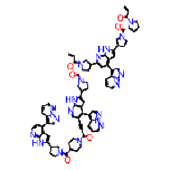 C=CC(=O)N1CCC[C@@H]1C(=O)N1CCC(c2cc3c(-c4cnn5ncccc45)cc(C4C[C@H](C(=O)N5CCC(c6cc7c(-c8cnn9ncccc89)c(C#CC(=O)N8CCC(C(=O)N9CCC(c%10cc%11c(-c%12cnn%13ncccc%12%13)ccnc%11[nH]%10)C9)CC8)cnc7[nH]6)C5)N(C(=O)C=C)C4)nc3[nH]2)C1